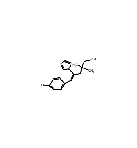 CC(C)(CO)C/C(=C/c1ccc(Cl)cc1)n1cncn1